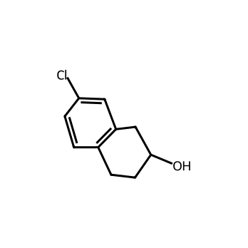 OC1CCc2ccc(Cl)cc2C1